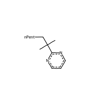 CCCCCCC(C)(C)c1ncccn1